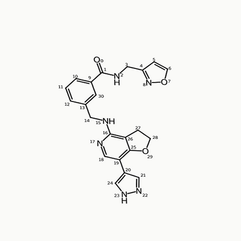 O=C(NCc1ccon1)c1cccc(CNc2ncc(-c3cn[nH]c3)c3c2CCO3)c1